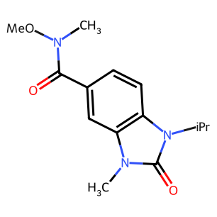 CON(C)C(=O)c1ccc2c(c1)n(C)c(=O)n2C(C)C